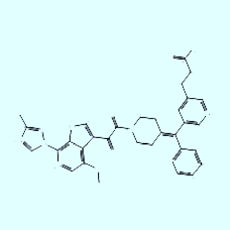 COc1cnc(-n2cnc(C)n2)c2[nH]cc(C(=O)C(=O)N3CCC(=C(c4ccccc4)c4cncc(CCC(=O)O)c4)CC3)c12